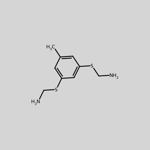 Cc1cc(SCN)cc(SCN)c1